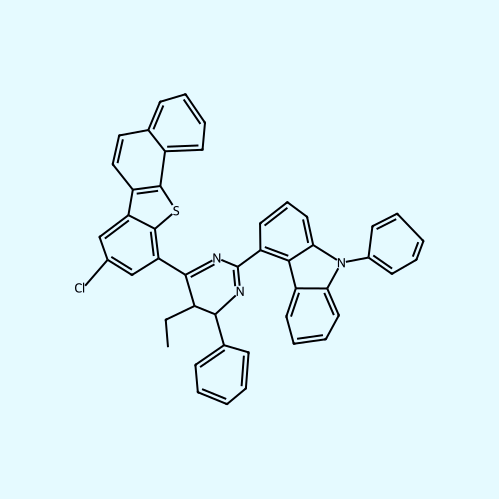 CCC1C(c2cc(Cl)cc3c2sc2c4ccccc4ccc32)=NC(c2cccc3c2c2ccccc2n3-c2ccccc2)=NC1c1ccccc1